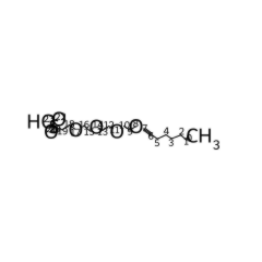 CCCCCCC#COCCOCCOCCOCCS(=O)(=O)O